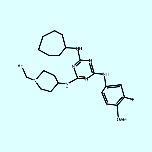 COc1ccc(Nc2nc(NC3CCCCCC3)nc(NC3CCN(CC(C)=O)CC3)n2)cc1F